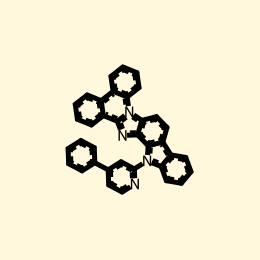 c1ccc(-c2ccnc(-n3c4ccccc4c4ccc5c(nc6c7ccccc7c7ccccc7n56)c43)c2)cc1